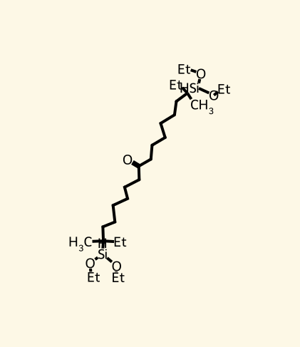 CCO[SiH](OCC)C(C)(CC)CCCCCCC(=O)CCCCCCC(C)(CC)[SiH](OCC)OCC